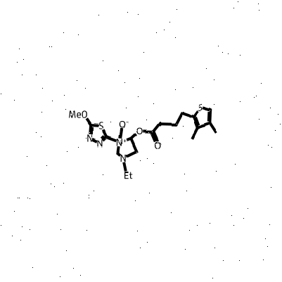 CCN1CC(OC(=O)CCCc2scc(C)c2C)[N+]([O-])(c2nnc(OC)s2)C1